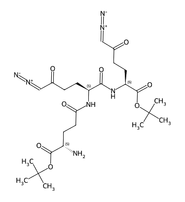 CC(C)(C)OC(=O)[C@H](CCC(=O)C=[N+]=[N-])NC(=O)[C@H](CCC(=O)C=[N+]=[N-])NC(=O)CC[C@H](N)C(=O)OC(C)(C)C